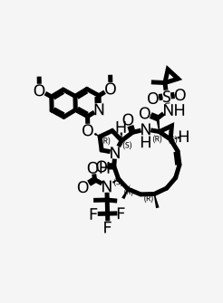 COc1ccc2c(O[C@@H]3C[C@H]4C(=O)N[C@]5(C(=O)NS(=O)(=O)C6(C)CC6)C[C@H]5C=CCC[C@@H](C)C[C@@H](C)[C@H](N(C(=O)O)C(C)(C)C(F)(F)F)C(=O)N4C3)nc(OC)cc2c1